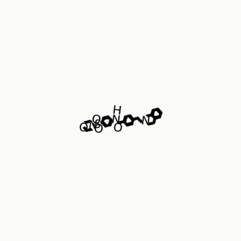 O=C(Nc1ccc(S(=O)(=O)N2CCOCC2)cc1)c1ccc(CCN2CCc3ccccc3C2)cc1